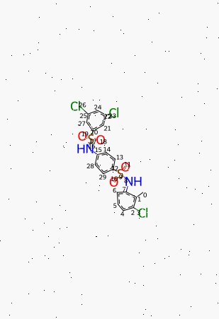 Cc1c(Cl)cccc1NS(=O)(=O)c1ccc(NS(=O)(=O)c2cc(Cl)cc(Cl)c2)cc1